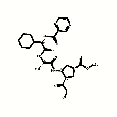 CC(C)(C)OC(=O)[C@@H]1CN(C(=O)OC(C)(C)C)C[C@@H]1NC(=O)[C@@H](NC(=O)[C@@H](NC(=O)c1cnccn1)C1CCCCC1)C(C)(C)C